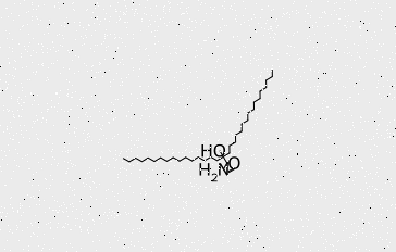 C=C.CCCCCCCCCCCCCCCCC(O)(CCCCCCCCCCCCCCCC)C(N)=O